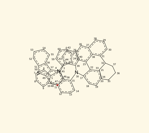 c1ccc(-n2c3ccccc3c3cccc(N(c4ccccc4-c4cccc5cccc(C6CCCCC6)c45)c4ccccc4-c4cccc5sc6ccccc6c45)c32)cc1